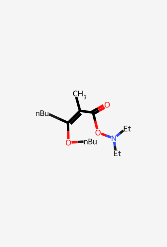 CCCCOC(CCCC)=C(C)C(=O)ON(CC)CC